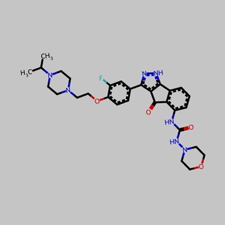 CC(C)N1CCN(CCOc2ccc(-c3n[nH]c4c3C(=O)c3c(NC(=O)NN5CCOCC5)cccc3-4)cc2F)CC1